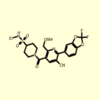 CCNS(=O)(=O)C1CCN(C(=O)c2cc(C#N)c(-c3ccc4c(c3)OC(F)(F)O4)nc2COC)CC1